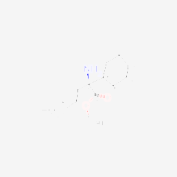 CC(C)(C)OC(=O)[C@](N)(CCC(=O)O)C1CCCCC1